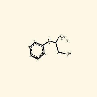 CC(CC#N)Nc1ccccc1